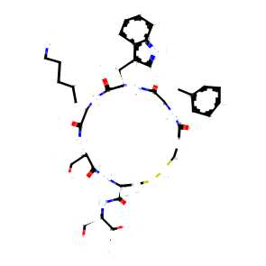 C[C@@H](O)[C@@H]1NC(=O)[C@H](CCCCCN)NC(=O)[C@@H](Cc2c[nH]c3ccccc23)NC(=O)[C@H](Cc2ccccc2)NC(=O)CCSSC[C@@H](C(=O)N[C@H](CO)[C@@H](C)O)NC1=O